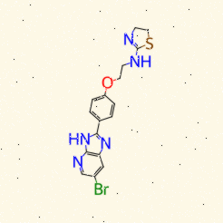 Brc1cnc2[nH]c(-c3ccc(OCCNC4=NCCS4)cc3)nc2c1